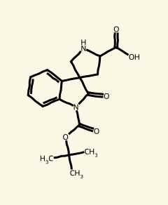 CC(C)(C)OC(=O)N1C(=O)C2(CNC(C(=O)O)C2)c2ccccc21